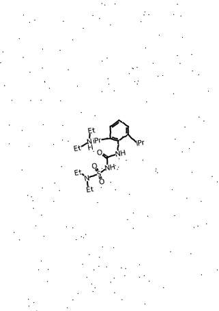 CCN(CC)S(=O)(=O)NC(=O)Nc1c(C(C)C)cccc1C(C)C.CCNCC